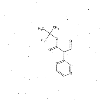 CC(C)(C)OC(=O)C(C=O)c1cnccn1